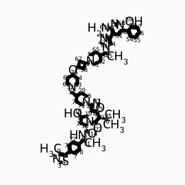 Cc1ncsc1-c1ccc([C@H](C)NC(=O)[C@@H]2C[C@@H](O)CN2C(=O)[C@@H](c2cc(N3CCC(CN4CCC(O[C@H]5C[C@H](N6CCC(C(C)n7cnc(-c8cc(-c9ccccc9O)nnc8N)c7)CC6)C5)CC4)CC3)no2)C(C)C)cc1